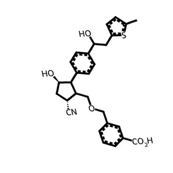 Cc1ccc(CC(O)c2ccc(C3C(COCc4cccc(C(=O)O)c4)[C@H](C#N)C[C@H]3O)cc2)s1